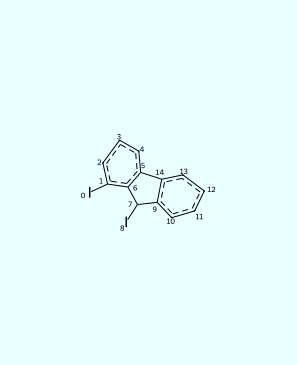 Ic1cccc2c1C(I)c1ccccc1-2